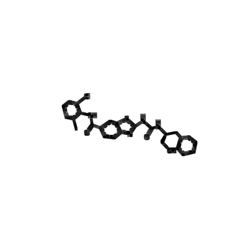 Cc1cccc(Cl)c1NC(=O)c1ccc2nc(NC(=O)N[C@H](CO)Cc3ccccc3)sc2c1